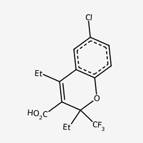 CCC1=C(C(=O)O)C(CC)(C(F)(F)F)Oc2ccc(Cl)cc21